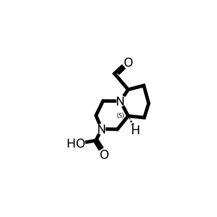 O=CC1CCC[C@H]2CN(C(=O)O)CCN12